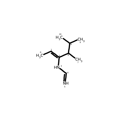 C/C=C(\NC=N)C(C)C(C)C